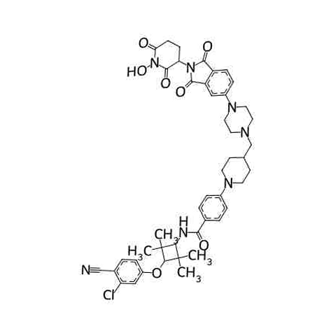 CC1(C)C(NC(=O)c2ccc(N3CCC(CN4CCN(c5ccc6c(c5)C(=O)N(C5CCC(=O)N(O)C5=O)C6=O)CC4)CC3)cc2)C(C)(C)C1Oc1ccc(C#N)c(Cl)c1